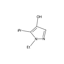 CCn1ncc(O)c1C(C)C